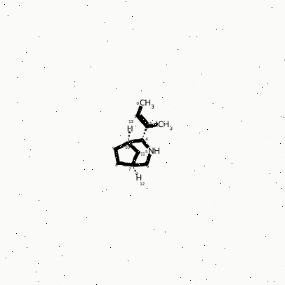 CC=C(C)[C@@H]1NC[C@H]2CC[C@@H]1C2